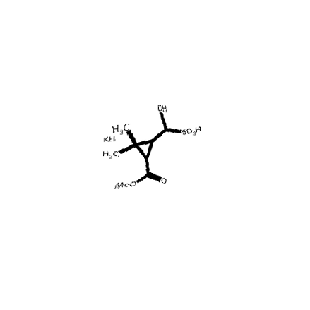 COC(=O)C1C(C(O)S(=O)(=O)O)C1(C)C.[KH]